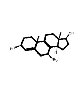 C[C@]12CC[C@H](O)C=C1C[C@H](N)C1=C2CC[C@]2(C)[C@@H](O)CC[C@@H]12